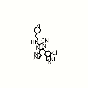 CN1CCC(CCNc2nc(-c3ccn(C)n3)c(-c3cc(Cl)c4[nH]ncc4c3)nc2C#N)CC1